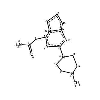 CN1CCN(c2nc(CC(N)=O)n3cccc3n2)CC1